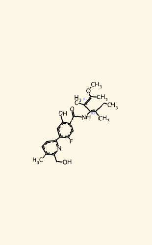 CC/C(C)=C(NC(=O)c1cc(F)c(-c2ccc(C)c(CO)n2)cc1O)\C(C)=C(/C)OC